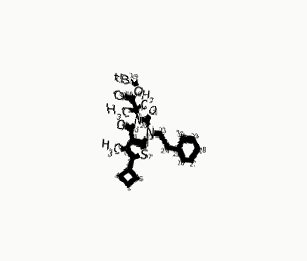 Cc1c(C2CCC2)sc2c1c(=O)n(C(C)(C)C(=O)OC(C)(C)C)c(=O)n2CCc1ccccc1